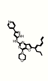 C=C/C=C\C=C(/CCC)c1cc2nc(Nc3cc(-c4ccncc4)n[nH]3)nc(N3CCOCC3)c2o1